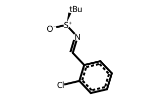 CC(C)(C)[S@+]([O-])N=Cc1ccccc1Cl